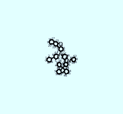 c1ccc(-c2ccc(N(c3ccc4oc5cc6ccccc6cc5c4c3)c3ccc4c(c3)c3cc(C5(c6ccccc6)c6ccccc6-c6ccccc65)ccc3n4-c3ccccc3)cc2)cc1